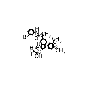 COc1ccc([C@@]23CC[C@@H](N(C)C(=O)Nc4cccc(Br)c4)C[C@@H]2N(C)CC3)cc1OC.O=C(O)C(F)(F)F